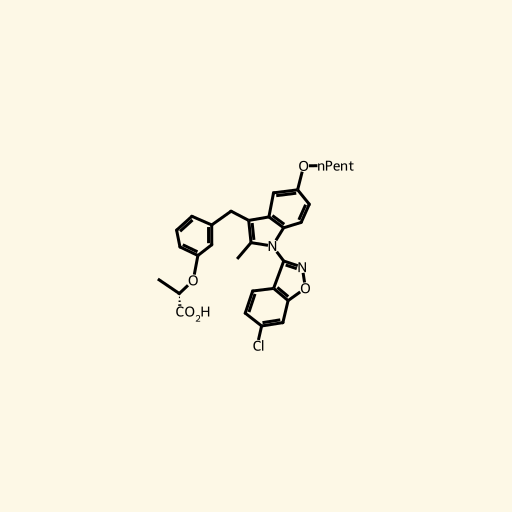 CCCCCOc1ccc2c(c1)c(Cc1cccc(O[C@@H](C)C(=O)O)c1)c(C)n2-c1noc2cc(Cl)ccc12